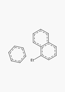 CCc1cccc2ccccc12.c1ccccc1